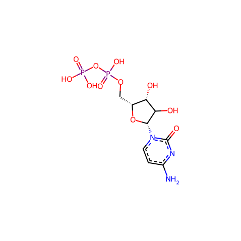 Nc1ccn([C@@H]2O[C@H](COP(=O)(O)OP(=O)(O)O)[C@H](O)C2O)c(=O)n1